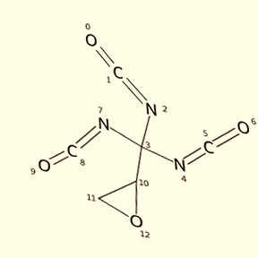 O=C=NC(N=C=O)(N=C=O)C1CO1